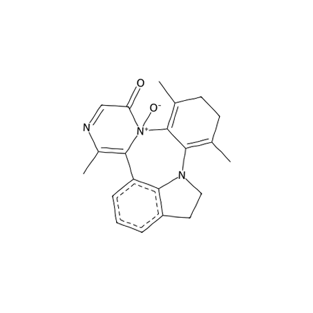 CC1=C2C(=C(C)CC1)[N+]1([O-])C(=O)C=NC(C)=C1c1cccc3c1N2CC3